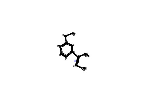 CC(C)Oc1cc(/C(N)=N/O)ccn1